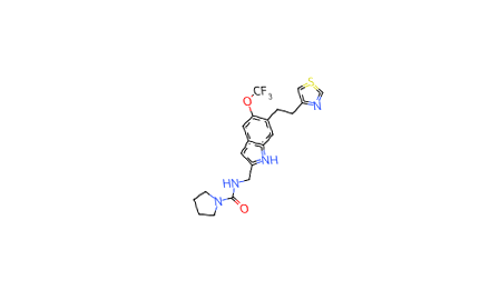 O=C(NCc1cc2cc(OC(F)(F)F)c(CCc3cscn3)cc2[nH]1)N1CCCC1